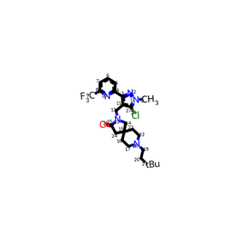 Cn1nc(-c2cccc(C(F)(F)F)n2)c(CN2CC3(CCN(CCC(C)(C)C)CC3)CC2=O)c1Cl